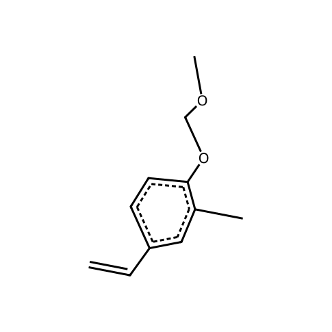 C=Cc1ccc(OCOC)c(C)c1